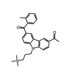 CC(=O)c1ccc2c(c1)c1cc(C(=O)c3ccccc3C)ccc1n2CCC[Si](C)(C)C